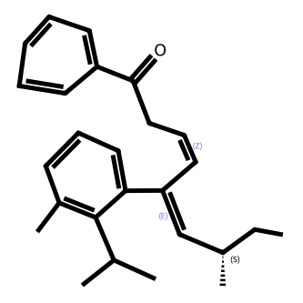 CC[C@H](C)/C=C(\C=C/CC(=O)c1ccccc1)c1cccc(C)c1C(C)C